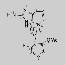 COc1cccc(F)c1CCN1C=CC=CC1(NC(N)=S)C(F)(F)F